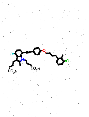 Cc1c(Cl)cccc1CCCCOc1ccc(C#Cc2ccc(F)c3c(CCCC(=O)O)c(C)n(CCCC(=O)O)c23)cc1